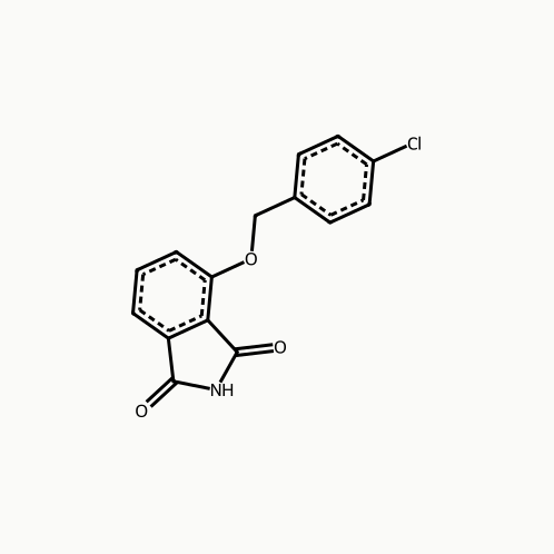 O=C1NC(=O)c2c(OCc3ccc(Cl)cc3)cccc21